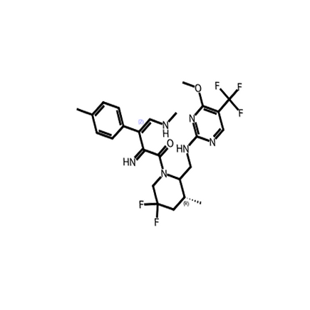 CN/C=C(\C(=N)C(=O)N1CC(F)(F)C[C@@H](C)C1CNc1ncc(C(F)(F)F)c(OC)n1)c1ccc(C)cc1